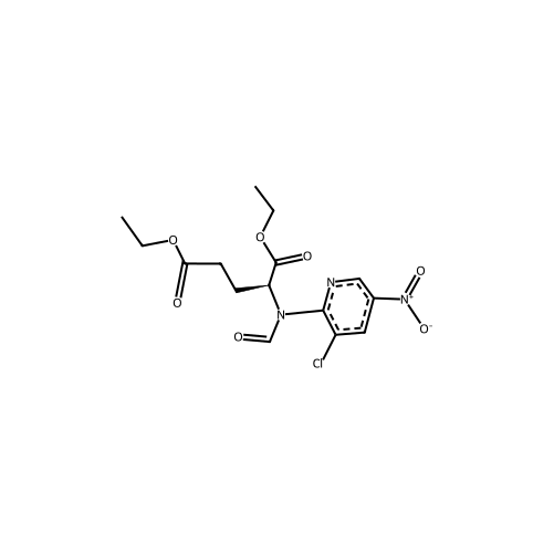 CCOC(=O)CC[C@@H](C(=O)OCC)N(C=O)c1ncc([N+](=O)[O-])cc1Cl